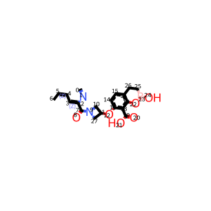 C=N/C(=C\C=C/C)C(=O)N1CC(Oc2ccc3c(c2C(=O)O)OB(O)CC3)C1